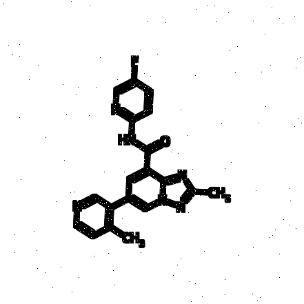 Cc1nc2c(C(=O)Nc3ccc(F)cn3)cc(-c3cnccc3C)cn2n1